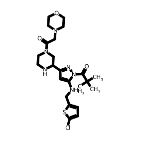 CC(C)(C)C(=O)n1nc(C2CN(C(=O)CN3CCOCC3)CCN2)cc1NCc1ccc(Cl)s1